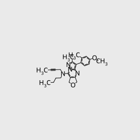 CC#CCN(CCCC)c1c2c(nc3c(-c4ccc(OC)cc4C)c(C)nn13)COC2